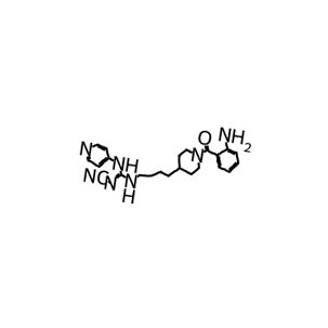 N#C/N=C(/NCCCCC1CCN(C(=O)c2ccccc2N)CC1)Nc1ccncc1